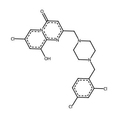 O=c1cc(CN2CCN(Cc3ccc(Cl)cc3Cl)CC2)nc2c(O)cc(Cl)cn12